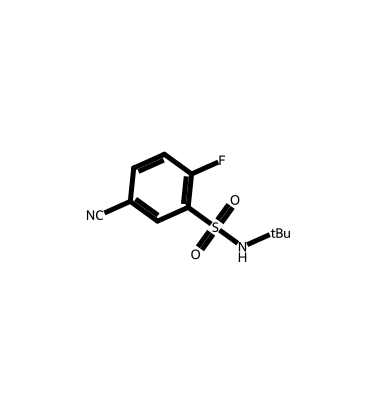 CC(C)(C)NS(=O)(=O)c1cc(C#N)ccc1F